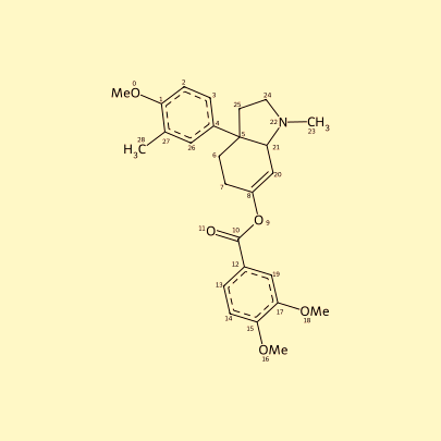 COc1ccc(C23CCC(OC(=O)c4ccc(OC)c(OC)c4)=CC2N(C)CC3)cc1C